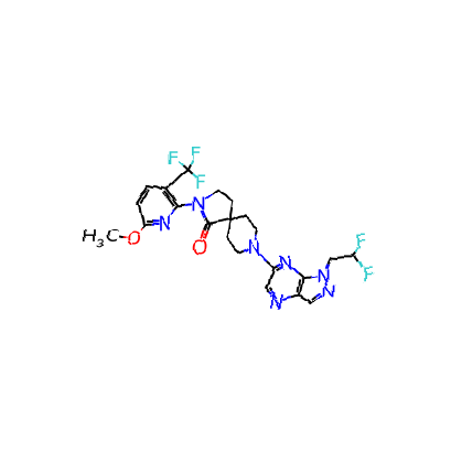 COc1ccc(C(F)(F)F)c(N2CCC3(CCN(c4cnc5cnn(CC(F)F)c5n4)CC3)C2=O)n1